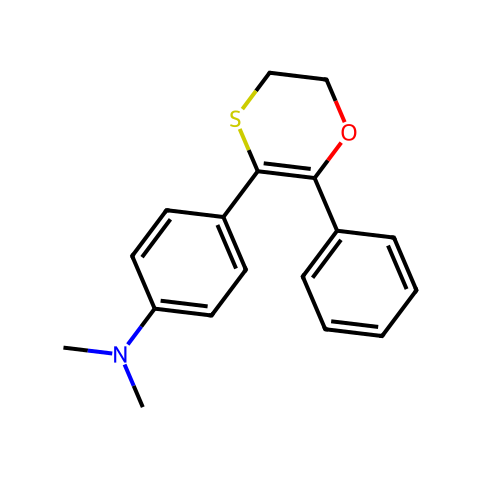 CN(C)c1ccc(C2=C(c3ccccc3)OCCS2)cc1